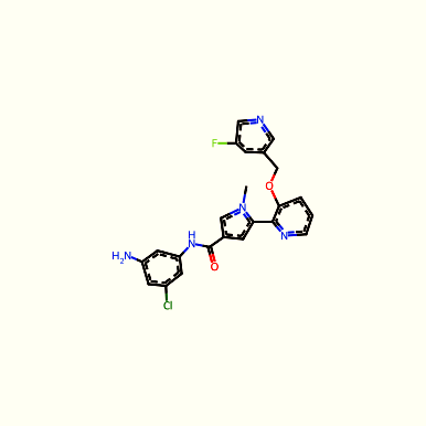 Cn1cc(C(=O)Nc2cc(N)cc(Cl)c2)cc1-c1ncccc1OCc1cncc(F)c1